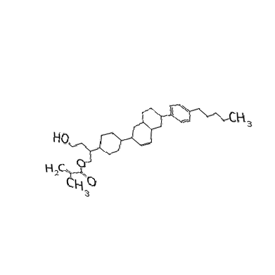 C=C(C)C(=O)OCC(CCO)C1CCC(C2CCC3CC(c4ccc(CCCCC)cc4)CCC3C2)CC1